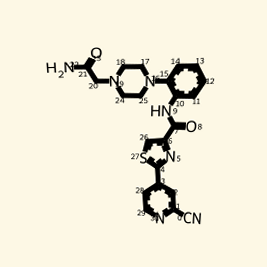 N#Cc1cc(-c2nc(C(=O)Nc3ccccc3N3CCN(CC(N)=O)CC3)cs2)ccn1